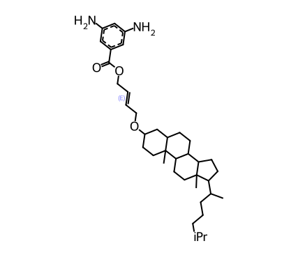 CC(C)CCCC(C)C1CCC2C3CCC4CC(OC/C=C/COC(=O)c5cc(N)cc(N)c5)CCC4(C)C3CCC12C